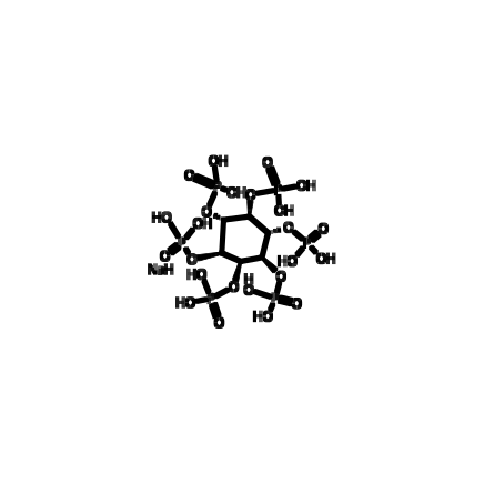 O=P(O)(O)O[C@H]1[C@H](OP(=O)(O)O)[C@@H](OP(=O)(O)O)[C@H](OP(=O)(O)O)[C@@H](OP(=O)(O)O)[C@H]1OP(=O)(O)O.[NaH]